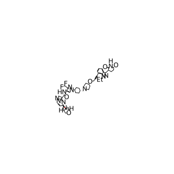 CCn1nc(C2CCC(=O)NC2=O)c2cccc(C#CCOC3CCN(C[C@H]4CC[C@H](n5cc(NC(=O)c6cnn7ccc(N8C[C@H]9C[C@@H]8CO9)nc67)c(C(F)F)n5)CC4)CC3)c21